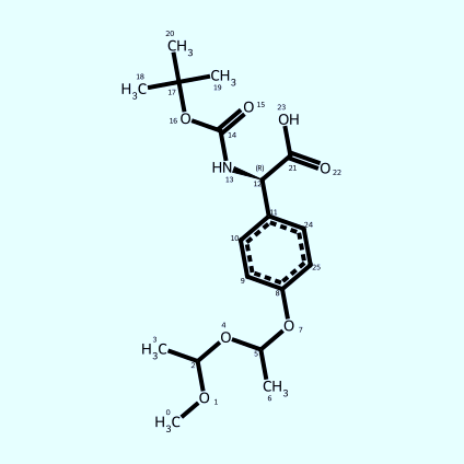 COC(C)OC(C)Oc1ccc([C@@H](NC(=O)OC(C)(C)C)C(=O)O)cc1